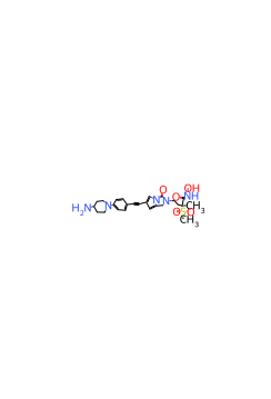 C[C@@](CCN1Cc2cc(C#Cc3ccc(N4CCC(N)CC4)cc3)cn2C1=O)(C(=O)NO)S(C)(=O)=O